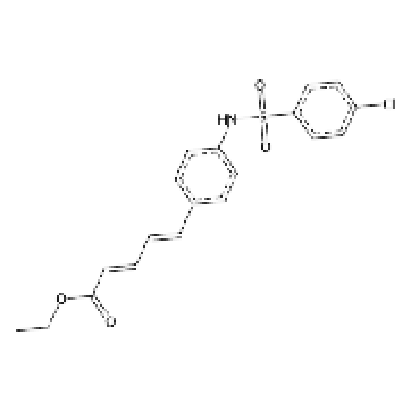 CCOC(=O)C=CC=Cc1ccc(NS(=O)(=O)c2ccc(Cl)cc2)cc1